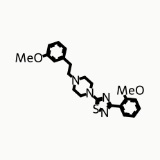 COc1cccc(CCN2CCN(c3nc(-c4ccccc4OC)ns3)CC2)c1